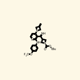 C=C1CN(c2ccnc(Nc3ccc(OC(F)(F)F)cc3)c2C(=N)C2CN(C(=O)OC(C)(C)C)C2)C1